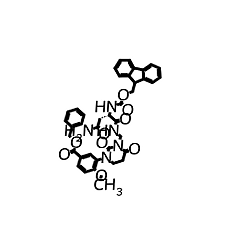 COc1ccc(C(=O)OCc2ccccc2)cc1N1CCC(=O)N(CNC(=O)[C@H](CC(N)=O)NC(=O)OCC2c3ccccc3-c3ccccc32)C1=O